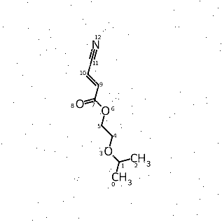 CC(C)OCCOC(=O)C=CC#N